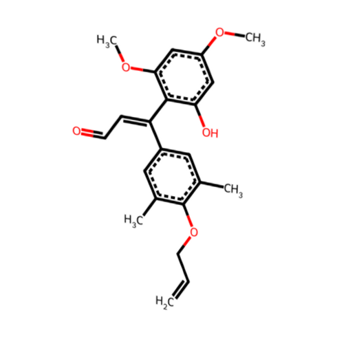 C=CCOc1c(C)cc(/C(=C\C=O)c2c(O)cc(OC)cc2OC)cc1C